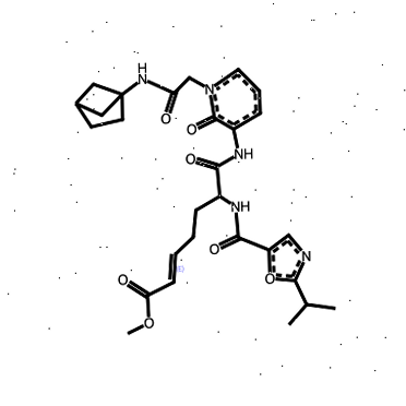 COC(=O)/C=C/CCC(NC(=O)c1cnc(C(C)C)o1)C(=O)Nc1cccn(CC(=O)NC23CCC(C2)C3)c1=O